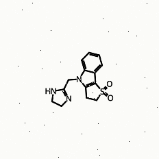 O=S1(=O)CCc2c1c1ccccc1n2CC1=NCCN1